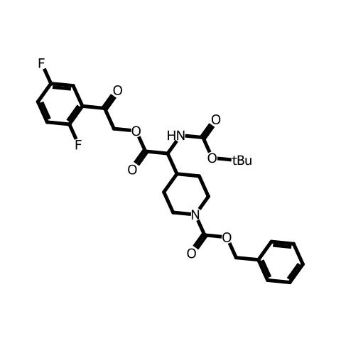 CC(C)(C)OC(=O)NC(C(=O)OCC(=O)c1cc(F)ccc1F)C1CCN(C(=O)OCc2ccccc2)CC1